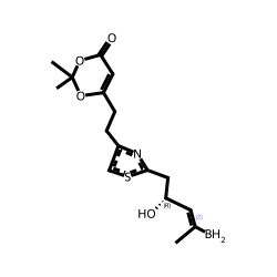 B/C(C)=C/[C@H](O)Cc1nc(CCC2=CC(=O)OC(C)(C)O2)cs1